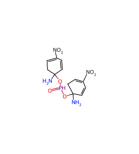 NC1(O[PH](=O)OC2(N)C=CC([N+](=O)[O-])=CC2)C=CC([N+](=O)[O-])=CC1